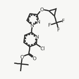 CC(C)(C)OC(=O)c1ccc(-n2ccc(OC3CC3C(F)(F)F)n2)nc1Cl